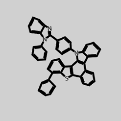 c1ccc(-c2cccc3c2sc2c4ccccc4c4c5ccccc5n(-c5ccc(-c6nc7ccccc7n6-c6ccccc6)cc5)c4c32)cc1